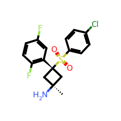 C[C@]1(N)C[C@](c2cc(F)ccc2F)(S(=O)(=O)c2ccc(Cl)cc2)C1